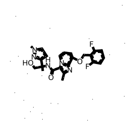 Cc1nc2c(OCc3c(F)cccc3F)cccn2c1C(=O)NC(C)(CO)c1ccn(C)n1